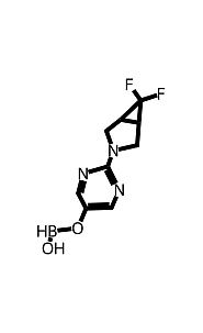 OBOc1cnc(N2CC3C(C2)C3(F)F)nc1